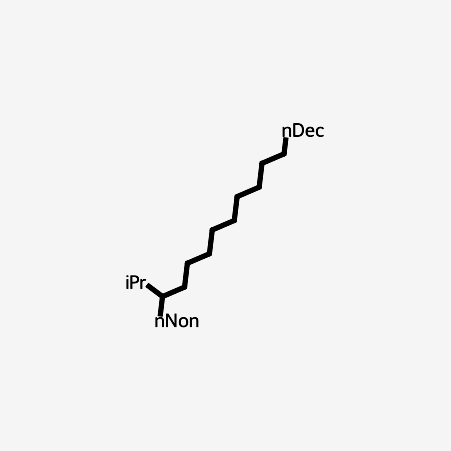 CCCCCCCCCCCCCCCCCCCC(CCCCCCCCC)C(C)C